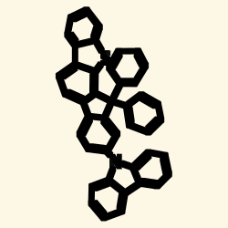 c1ccc(C2(c3ccccc3)c3cc(-n4c5ccccc5c5ccccc54)ccc3-c3ccc4c(sc5ccccc54)c32)cc1